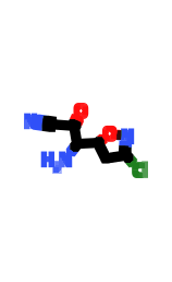 N#CC(=O)C(N)C1CC(Cl)=NO1